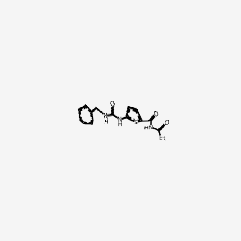 CCC(=O)NC(=O)c1ccc(NC(=O)NCc2ccccc2)s1